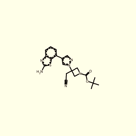 CC(C)(C)OC(=O)N1CC(CC#N)(n2cc(-c3cccc4nc(N)sc34)cn2)C1